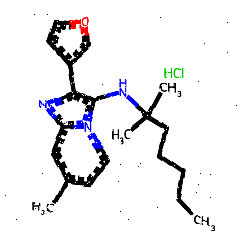 CCCCCC(C)(C)Nc1c(-c2ccoc2)nc2cc(C)ccn12.Cl